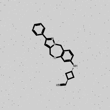 N=C[C@H]1C[C@H](Nc2ccc3c(c2)OCc2cc(-c4ccccc4)nn2C3)C1